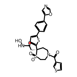 O=C(C[C@]1(c2ccc(-c3ccc(-c4cnco4)cc3)s2)CCN(C(=O)c2ccsc2)CCS1(=O)=O)NO